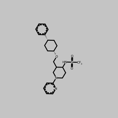 O=S(=O)(NC1CCN(c2ccccn2)CC1CO[C@H]1CC[C@@H](c2ccccc2)CC1)C(F)(F)F